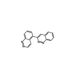 [c]1ccc2nnc(-c3cccc4nnccc34)cc2c1